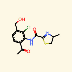 CC(=O)c1ccc(CO)c(Cl)c1NC(=O)C1=NC(C)CS1